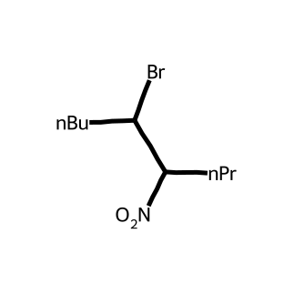 CCCCC(Br)C(CCC)[N+](=O)[O-]